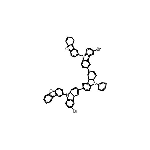 Brc1ccc2c(c1)C1C=C(c3ccc4c(c3)C3C=C(c5ccc6c(c5)c5cc(Br)ccc5n6-c5ccc6oc7c(c6c5)CCC=C7)C=CC3N4c3ccccc3)C=CC1N2c1ccc2oc3ccccc3c2c1